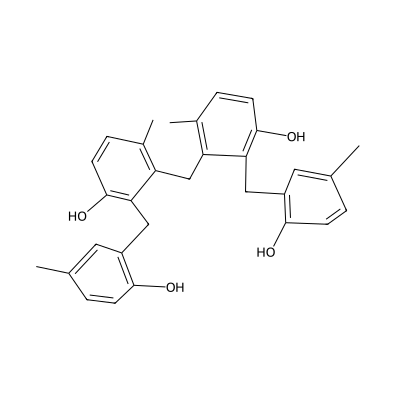 Cc1ccc(O)c(Cc2c(O)ccc(C)c2Cc2c(C)ccc(O)c2Cc2cc(C)ccc2O)c1